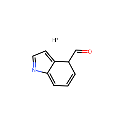 O=CC1C=CC=C2N=CC=C21.[H+]